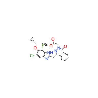 CC(C)(C)OC(=O)Cn1nc(Cc2nc3cc(Cl)c(OCC4CC4)c(F)c3[nH]2)c2ccccc2c1=O